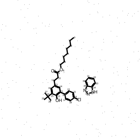 CCCCCCCCOC(=O)CCc1cc(-c2ccc(Cl)cc2)c(O)c(C(C)(C)C)c1.c1ccc2[nH]nnc2c1